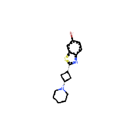 Brc1ccc2nc([C@H]3C[C@@H](N4CCCCC4)C3)sc2c1